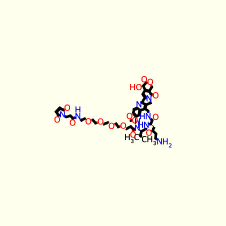 CC(C)[C@H](NC(=O)CCOCCOCCOCCOCCNC(=O)CCN1C(=O)C=CC1=O)C(=O)N[C@@H](CCCCN)C(=O)NCc1c2c(nc3cc4c(cc13)OCO4)-c1cc3c(c(=O)n1C2)COC(=O)[C@H]3O